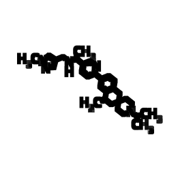 C=C(NCc1cnn(C)c1)c1ccc(-c2ccc3c(c2)C(=C)CC2(CCN(C(C)C)CC2)C3)nc1